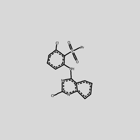 CC(C)S(=O)(=O)c1c(Cl)cccc1Nc1nc(Cl)nc2ccccc12